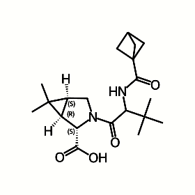 CC(C)(C)C(NC(=O)C12CC(C1)C2)C(=O)N1C[C@H]2[C@@H]([C@H]1C(=O)O)C2(C)C